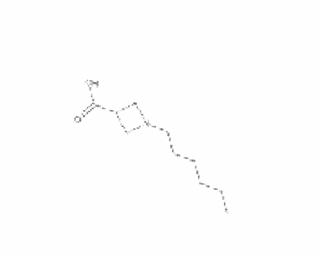 CCCCCCN1CC(C(=O)O)C1